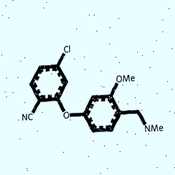 CNCc1ccc(Oc2cc(Cl)ccc2C#N)cc1OC